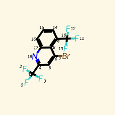 FC(F)(F)c1cc(Br)c2c(C(F)(F)F)cccc2n1